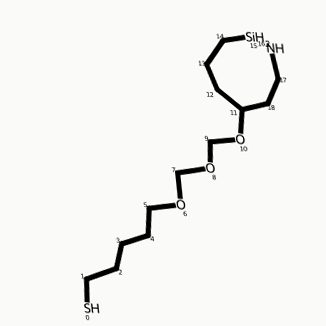 SCCCCCOCOCOC1CCC[SiH2]NCC1